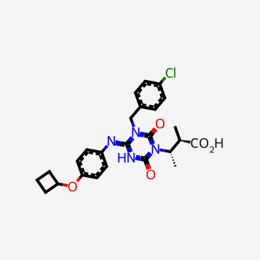 C[C@@H](C(=O)O)[C@H](C)n1c(=O)[nH]/c(=N\c2ccc(OC3CCC3)cc2)n(Cc2ccc(Cl)cc2)c1=O